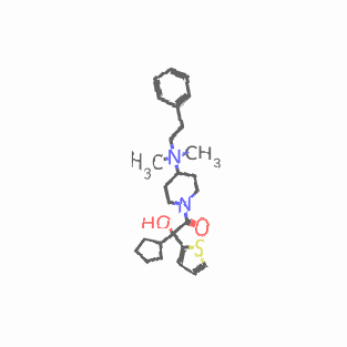 C[N+](C)(CCc1ccccc1)C1CCN(C(=O)C(O)(c2cccs2)C2CCCC2)CC1